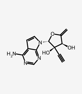 C#C[C@@]1(O)[C@H](O)C(=C)O[C@H]1n1ccc2c(N)ncnc21